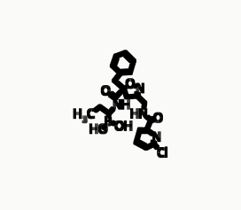 CCC(NC(=O)C1(Cc2ccccc2)CC(CNC(=O)c2cccc(Cl)n2)=NO1)B(O)O